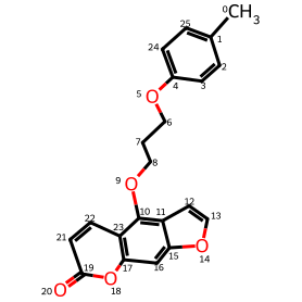 Cc1ccc(OCCCOc2c3ccoc3cc3oc(=O)ccc23)cc1